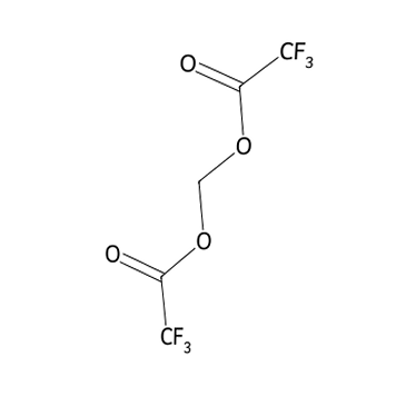 O=C(OCOC(=O)C(F)(F)F)C(F)(F)F